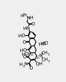 CCCNCC(=O)Nc1ccc2c(c1O)C(=O)C1=C(O)[C@]3(O)C(=O)C(C(N)=O)=C(O)[C@@H](N(C)C)C3CC1C2.Cl.Cl